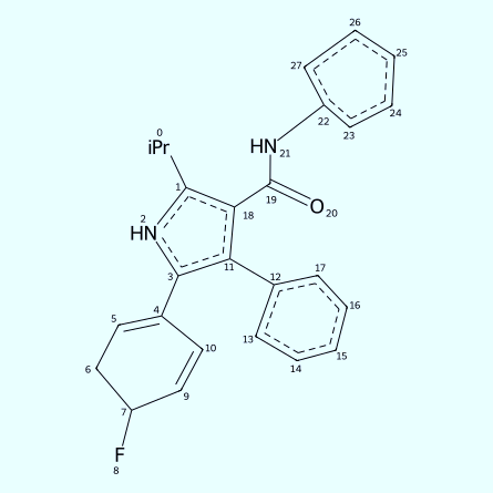 CC(C)c1[nH]c(C2=CCC(F)C=C2)c(-c2ccccc2)c1C(=O)Nc1ccccc1